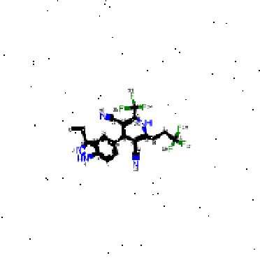 CCc1n[nH]c2ccc(C3C(C#N)=C(CCC(F)(F)F)NC(C(F)(F)F)=C3C#N)cc12